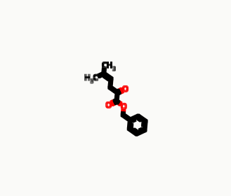 CC(C)=CCC(=O)C(=O)OCc1ccccc1